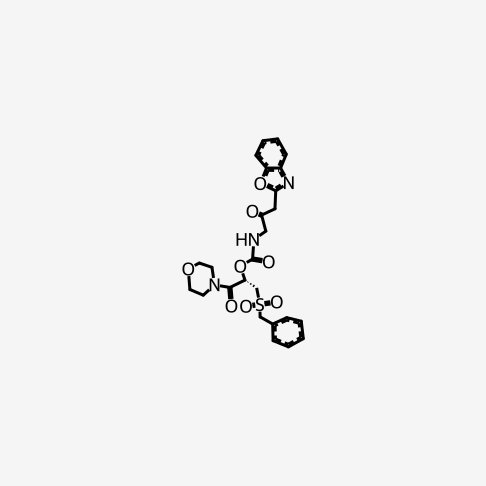 O=C(CNC(=O)O[C@H](CS(=O)(=O)Cc1ccccc1)C(=O)N1CCOCC1)Cc1nc2ccccc2o1